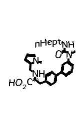 CCCCCCCNC(=O)N(C)c1cccc(-c2ccc(C[C@H](NCc3cccn3C)C(=O)O)cc2)c1